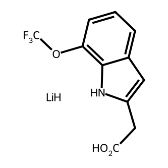 O=C(O)Cc1cc2cccc(OC(F)(F)F)c2[nH]1.[LiH]